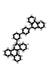 c1cc(-c2ccc(-c3cc4cccnc4c4ncccc34)cc2)cc(-c2nc3c4ccccc4c4ccccc4c3c3ccccc23)c1